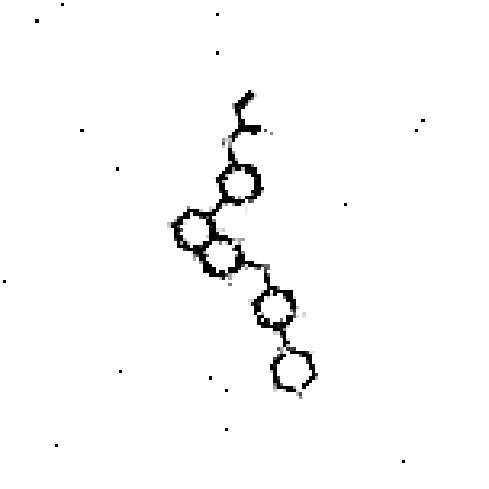 C=CC(=O)Nc1ccnc(-c2cccc3cnc(Nc4ccc(N5CCOCC5)nc4)nc23)c1